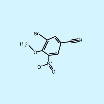 COc1c(Br)cc(C#N)cc1[N+](=O)[O-]